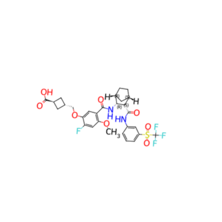 COc1cc(F)c(OC[C@H]2C[C@H](C(=O)O)C2)cc1C(=O)N[C@@H]1[C@@H]2CC[C@@H](C2)[C@@H]1C(=O)Nc1cccc(S(=O)(=O)C(F)(F)F)c1